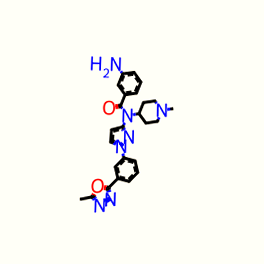 Cc1nnc(-c2cccc(-n3ccc(N(C(=O)c4cccc(N)c4)C4CCN(C)CC4)n3)c2)o1